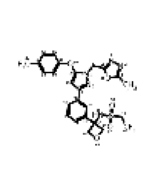 Cc1nnc(Cn2nc(-c3cccc(C4(NS(=O)(=O)CC(F)(F)F)COC4)c3)cc2Oc2ccc(C(F)(F)F)cc2)o1